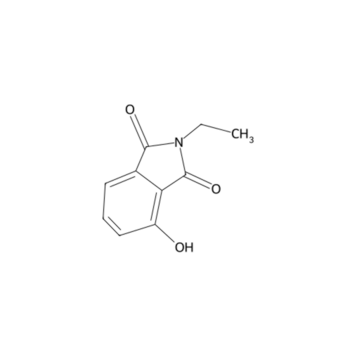 CCN1C(=O)c2cccc(O)c2C1=O